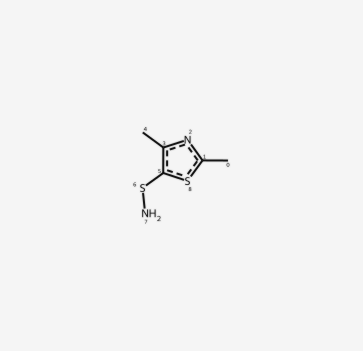 Cc1nc(C)c(SN)s1